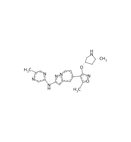 Cc1cnc(Nc2cc3cc(-c4c(O[C@@H]5CN[C@H](C)C5)noc4C)ccn3n2)cn1